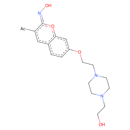 CC(=O)c1cc2ccc(OCCN3CCN(CCO)CC3)cc2oc1=NO